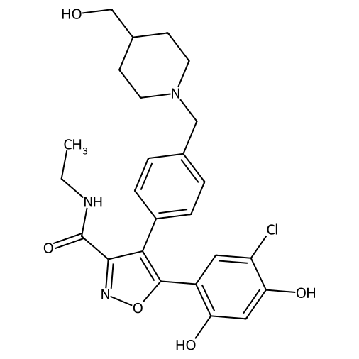 CCNC(=O)c1noc(-c2cc(Cl)c(O)cc2O)c1-c1ccc(CN2CCC(CO)CC2)cc1